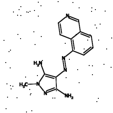 Cn1nc(N)c(/N=N/c2cccc3cnccc23)c1N